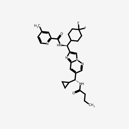 CCCC(=O)N[C@@H](c1cnn2cc([C@@H](NC(=O)c3cc(C)ccn3)C3CCC(F)(F)CC3)nc2c1)C1CC1